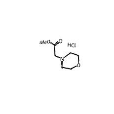 COC(=O)CN1CCOCC1.Cl